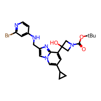 CC(C)(C)OC(=O)N1CC(O)(c2cc(C3CC3)cn3cc(CNc4ccnc(Br)c4)nc23)C1